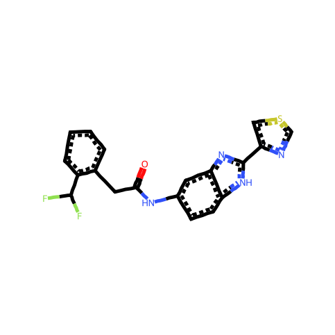 O=C(Cc1ccccc1C(F)F)Nc1ccc2[nH]c(-c3cscn3)nc2c1